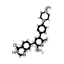 CC(C)N1CCN(c2ccc(-c3cc(-c4ccc5c(=O)[nH]cnc5c4)c(N)nc3F)cc2)CC1